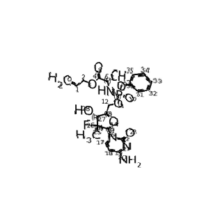 C=CCOC(=O)[C@H](C)N[P@](=O)(OC[C@H]1O[C@@H](n2ccc(N)nc2=O)[C@](C)(F)[C@@H]1O)Oc1ccccc1